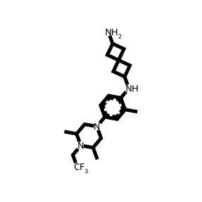 Cc1cc(N2CC(C)N(CC(F)(F)F)C(C)C2)ccc1NC1CC2(CC(N)C2)C1